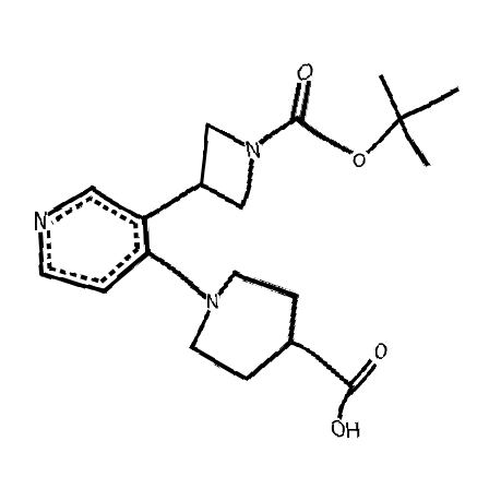 CC(C)(C)OC(=O)N1CC(c2cnccc2N2CCC(C(=O)O)CC2)C1